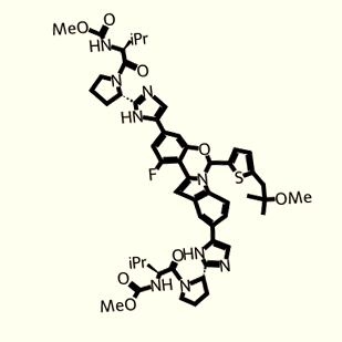 COC(=O)N[C@H](C(=O)N1CCC[C@H]1c1ncc(-c2cc(F)c3c(c2)OC(c2ccc(CC(C)(C)OC)s2)n2c-3cc3cc(-c4cnc([C@@H]5CCCN5C(=O)[C@@H](NC(=O)OC)C(C)C)[nH]4)ccc32)[nH]1)C(C)C